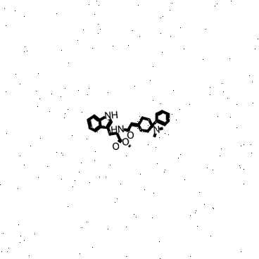 COC(=O)C(Cc1c[nH]c2ccccc12)NC(=O)C=C1CCC(c2ccccc2)(N(C)C)CC1